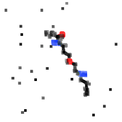 C#CCCNCCOCCCNC(=O)C(F)(F)F